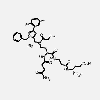 CC(C)(C)[C@H](c1cc(-c2cc(F)ccc2F)cn1Cc1ccccc1)N(CC[C@H](NC(=O)CCC(N)=O)C(=O)NCCC(=O)N[C@H](CCC(=O)O)C(=O)O)C(=O)CO